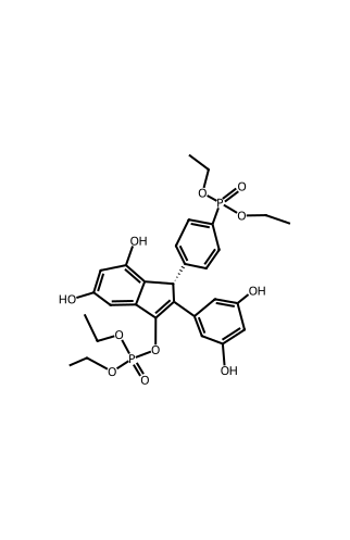 CCOP(=O)(OCC)OC1=C(c2cc(O)cc(O)c2)[C@@H](c2ccc(P(=O)(OCC)OCC)cc2)c2c(O)cc(O)cc21